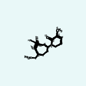 CCC1CCC(N2CCCC(C)C2=O)CC(F)(F)C1